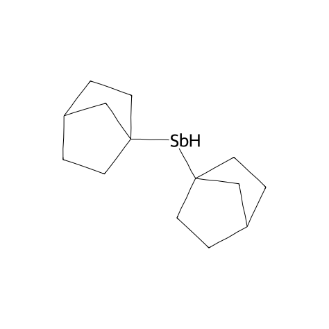 C1C[C]2([SbH][C]34CCC(CC3)C4)CCC1C2